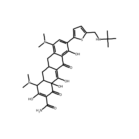 CN(C)c1cc(-c2ccc(CNC(C)(C)C)s2)c(O)c2c1CC1CC3C(N(C)C)C(O)=C(C(N)=O)C(=O)C3(O)C(O)=C1C2=O